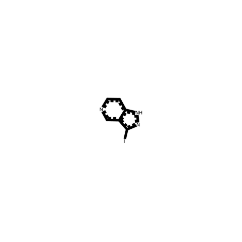 Ic1n[nH]c2ccncc12